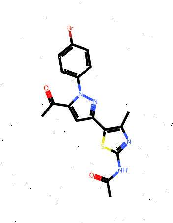 CC(=O)Nc1nc(C)c(-c2cc(C(C)=O)n(-c3ccc(Br)cc3)n2)s1